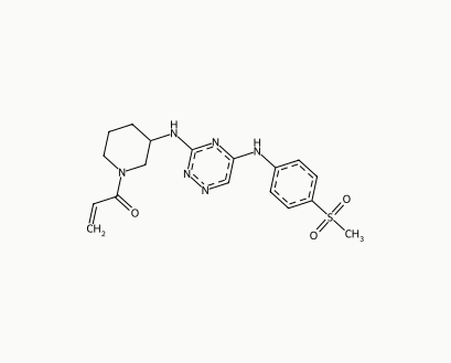 C=CC(=O)N1CCCC(Nc2nncc(Nc3ccc(S(C)(=O)=O)cc3)n2)C1